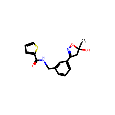 O=C(NCc1cccc(C2=NOC(O)(C(F)(F)F)C2)c1)c1cccs1